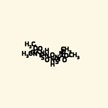 CCOC(=O)C(=NOC)c1csc(NC(=O)C(=O)Nc2nc(C(=NOC)C(=O)OCC)cs2)n1